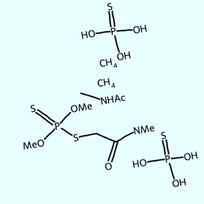 C.C.CNC(=O)CSP(=S)(OC)OC.CNC(C)=O.OP(O)(O)=S.OP(O)(O)=S